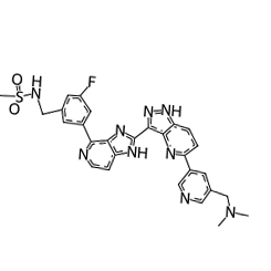 CN(C)Cc1cncc(-c2ccc3[nH]nc(-c4nc5c(-c6cc(F)cc(CNS(C)(=O)=O)c6)nccc5[nH]4)c3n2)c1